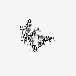 CCC1CC(=O)N(CCCCCC(=O)N[C@H](C(=O)N[C@@H](CCCNC(N)=O)C(=O)Nc2ccc(COC(=O)N(C)c3ccc(CCN(C)[C@H](C(=O)N[C@H](C(=O)N(C)[C@@H]([C@@H](C)CC)[C@@H](CC(=O)N4CCC[C@H]4[C@H](OC)[C@@H](C)C(=O)N[C@@H](Cc4ccccc4)c4nccs4)OC)C(C)C)C(C)C)cc3)cc2)C(C)C)C1=O